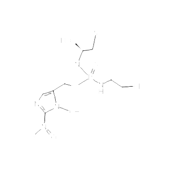 C[C@@H](CCl)NP(=O)(NCCCl)OCc1cnc([N+](=O)[O-])n1C